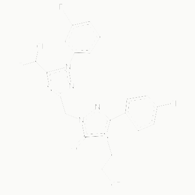 CC(F)c1nc(Cn2nc(-c3ccc(Cl)cc3)n(CCC(F)(F)F)c2=O)nn1-c1cccc(F)c1